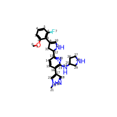 COc1cccc(F)c1C1=CNC(c2ccc(-c3cnn(C)c3)c(NC3CCNC3)n2)C1